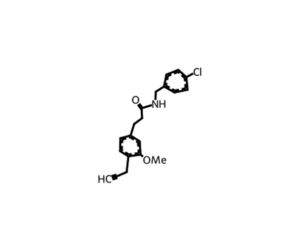 C#CCc1ccc(CCC(=O)NCc2ccc(Cl)cc2)cc1OC